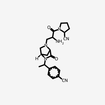 CC(c1ccc(C#N)cc1)N1C(=O)C2C[C@H]1CN2CC(N)C(=O)N1CCCC1C#N